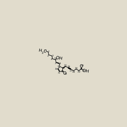 CCCCCC(O)/C=C/C1C=CC(=O)/C1=C\C#CCCCC(=O)O